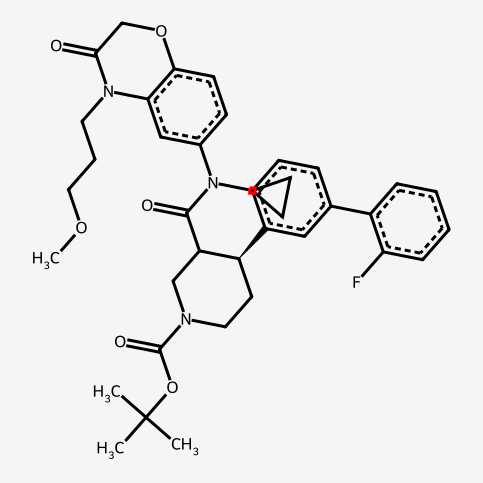 COCCCN1C(=O)COc2ccc(N(C(=O)C3CN(C(=O)OC(C)(C)C)CC[C@@H]3c3cccc(-c4ccccc4F)c3)C3CC3)cc21